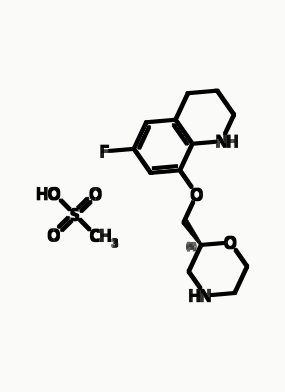 CS(=O)(=O)O.Fc1cc2c(c(OC[C@@H]3CNCCO3)c1)NCCC2